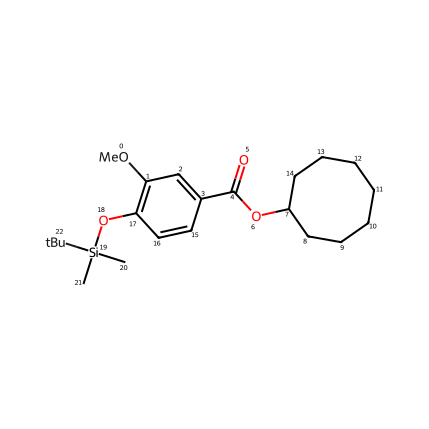 COc1cc(C(=O)OC2CCCCCCC2)ccc1O[Si](C)(C)C(C)(C)C